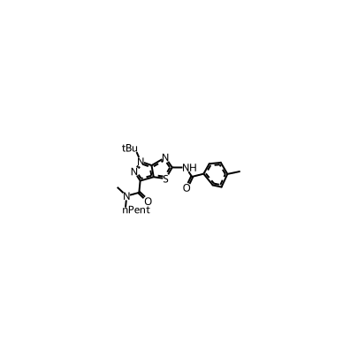 CCCCCN(C)C(=O)c1nn(C(C)(C)C)c2nc(NC(=O)c3ccc(C)cc3)sc12